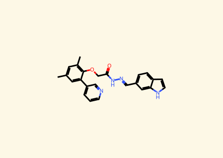 Cc1cc(C)c(OCC(=O)NN=Cc2ccc3cc[nH]c3c2)c(-c2cccnc2)c1